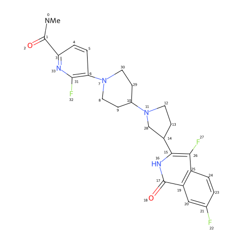 CNC(=O)c1ccc(N2CCC(N3CCC(c4[nH]c(=O)c5cc(F)ccc5c4F)C3)CC2)c(F)n1